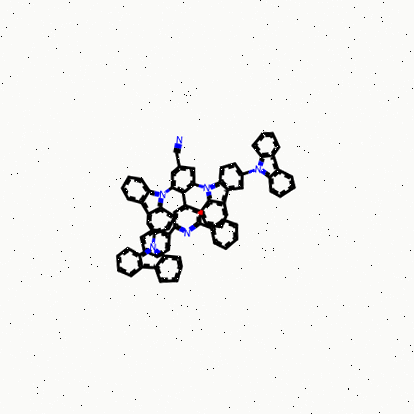 N#Cc1cc(-n2c3ccccc3c3cc(-n4c5ccccc5c5ccccc54)ccc32)c(-c2cc(-c3ccccc3)nc(-c3ccccc3)c2)c(-n2c3ccccc3c3cc(-n4c5ccccc5c5ccccc54)ccc32)c1